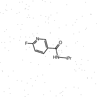 CC(C)NC(=O)c1ccc(F)nc1